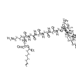 C=CCCCCCC(CC)OC(C=O)CN[C@@H](CCCCN)C(=O)NCC(=O)NCC(=O)NCC(=O)NCC(=O)NCOCC(=O)[C@@]12OC(CCC)O[C@@H]1C[C@H]1[C@@H]3CCC4=CC(=O)C=C[C@]4(C)[C@H]3[C@@H](O)C[C@@]12C